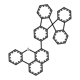 c1ccc2c(c1)Sc1c(-c3ccc4c(c3)C3(c5ccccc5-c5ccccc53)c3ccccc3-4)ccc3cccc-2c13